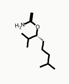 C=C(N)O[C@H](CCCC(C)C)C(C)C